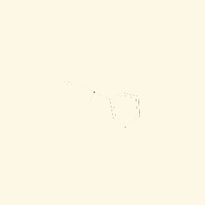 COC(F)(F)c1c[c]ccc1